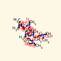 CC(O)CN(CC(C)O)C(=O)CCC(=O)OC(C)CN(CC(C)OC(=O)CCC(=O)N(CC(C)O)CC(C)O)C(=O)CCC(=O)N(CC(C)OC(=O)CCC(=O)N(CC(C)O)CC(C)O)CC(C)OC(O)CCC(=O)N(CC(C)O)CC(C)O